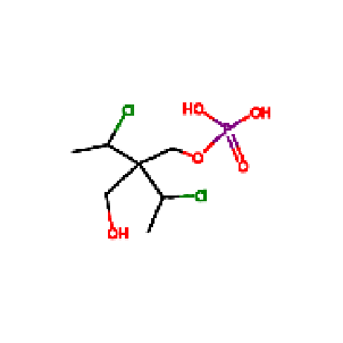 CC(Cl)C(CO)(COP(=O)(O)O)C(C)Cl